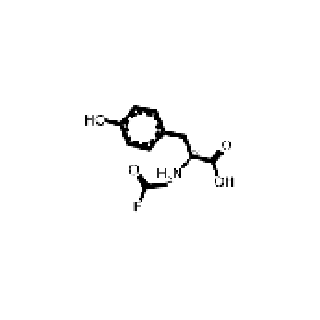 CC(=O)F.N[C@@H](Cc1ccc(O)cc1)C(=O)O